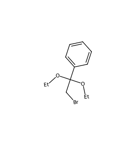 CCOC(CBr)(OCC)c1ccccc1